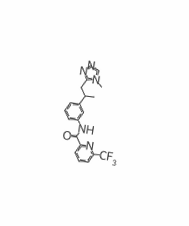 CC(Cc1nncn1C)c1cccc(NC(=O)c2cccc(C(F)(F)F)n2)c1